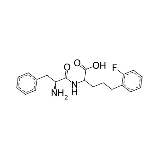 N[C@@H](Cc1ccccc1)C(=O)NC(CCCc1ccccc1F)C(=O)O